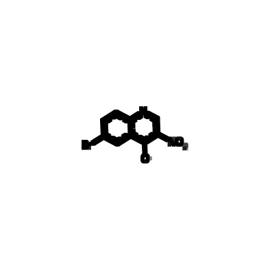 [O]c1c([N+](=O)[O-])cnc2ccc(Br)cc12